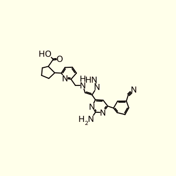 N#Cc1cccc(-c2cc(/C(=C/NCc3cccc(C4CCCC4C(=O)O)n3)N=N)nc(N)n2)c1